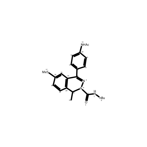 CCCCNC(=O)N1N=C(c2ccc(NC(C)=O)cc2)c2cc(SC)ccc2C1C